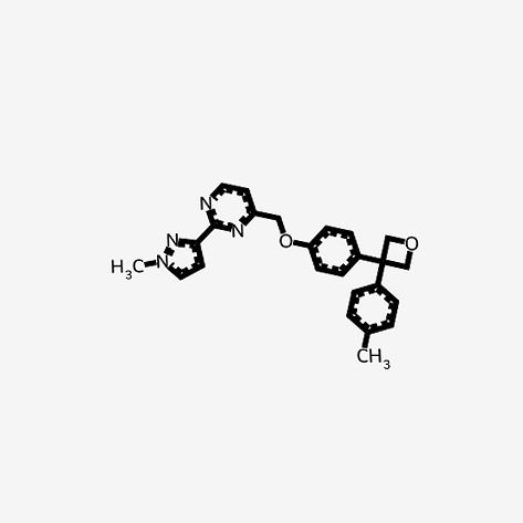 Cc1ccc(C2(c3ccc(OCc4ccnc(-c5ccn(C)n5)n4)cc3)COC2)cc1